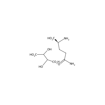 NC(=O)CC[C@H](N)C(=O)O.O=C(O)C(O)C(O)C(=O)O